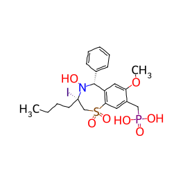 CCCC[C@]1(I)CS(=O)(=O)c2cc(CP(=O)(O)O)c(OC)cc2[C@@H](c2ccccc2)N1O